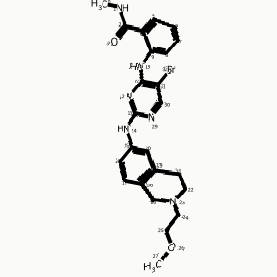 CNC(=O)c1ccccc1Nc1nc(Nc2ccc3c(c2)CCN(CCOC)C3)ncc1Br